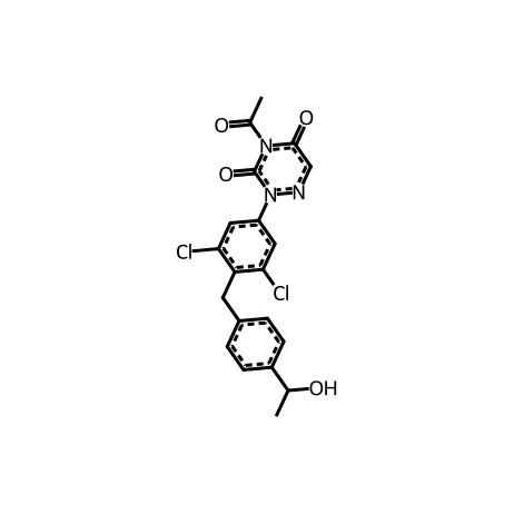 CC(=O)n1c(=O)cnn(-c2cc(Cl)c(Cc3ccc(C(C)O)cc3)c(Cl)c2)c1=O